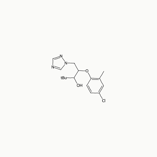 Cc1cc(Cl)ccc1OC(Cn1cncn1)C(O)C(C)(C)C